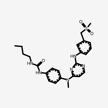 CCCCNC(=O)Nc1ccc(N(C)c2ccnc(Nc3cccc(CS(C)(=O)=O)c3)n2)cc1